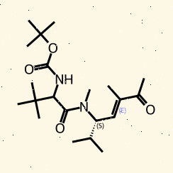 CC(=O)/C(C)=C/[C@H](C(C)C)N(C)C(=O)C(NC(=O)OC(C)(C)C)C(C)(C)C